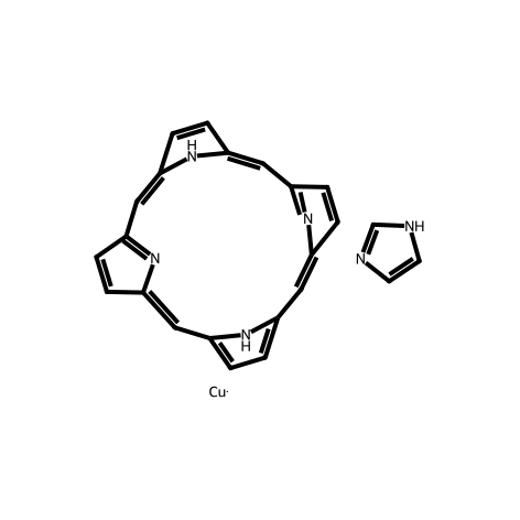 C1=Cc2cc3ccc(cc4nc(cc5ccc(cc1n2)[nH]5)C=C4)[nH]3.[Cu].c1c[nH]cn1